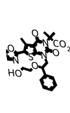 Cc1c(-c2ncco2)sc2c1c(=O)n(C(C)(C)C(=O)O)c(=O)n2CC(OCCO)c1ccccc1